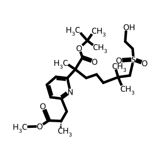 COC(=O)[C@@H](C)Cc1cccc(C(C)(CCCC(C)(C)CS(=O)(=O)CCO)C(=O)OC(C)(C)C)n1